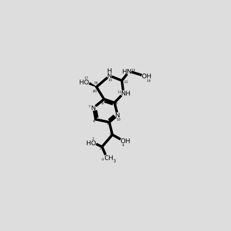 CC(O)C(O)c1cnc2c(n1)NC(NO)N[C@@H]2O